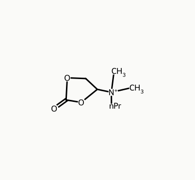 CCC[N+](C)(C)C1COC(=O)O1